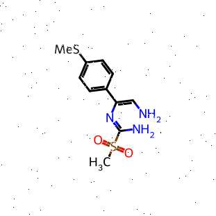 CSc1ccc(C(=C/N)/N=C(\N)S(C)(=O)=O)cc1